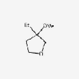 CCC1(OC)CCOC1